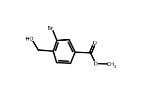 COC(=O)c1ccc(CO)c(Br)c1